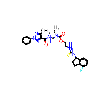 Cc1nn(-c2ccccc2)nc1C(=O)NCN(C)C(=O)OCCNC(=S)NC1CCc2c(F)cccc21